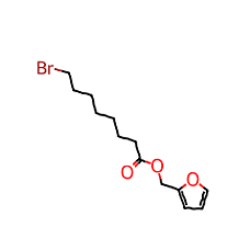 O=C(CCCCCCCBr)OCc1ccco1